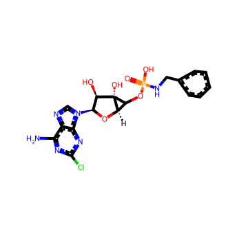 Nc1nc(Cl)nc2c1ncn2[C@@H]1O[C@@H]2C(OP(=O)(O)NCc3ccccc3)[C@]2(O)[C@@H]1O